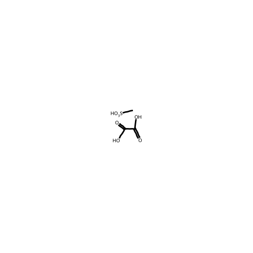 CS(=O)(=O)O.O=C(O)C(=O)O